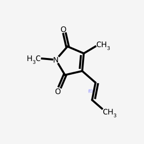 C/C=C/C1=C(C)C(=O)N(C)C1=O